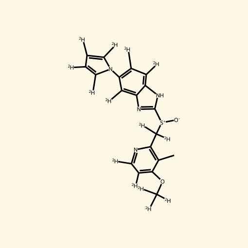 [2H]c1nc(C([2H])([2H])[S+]([O-])c2nc3c([2H])c(-n4c([2H])c([2H])c([2H])c4[2H])c([2H])c([2H])c3[nH]2)c(C)c(OC([2H])([2H])[2H])c1[2H]